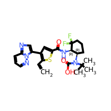 C=Cc1sc(C(=O)N[C@@H]2[C@H](N(C(=O)O)C(C)(C)C)CCCC2(F)F)cc1-c1cnc2cccnn12